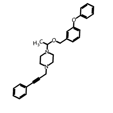 CC(OCc1cccc(Oc2ccccc2)c1)N1CCN(CC#Cc2ccccc2)CC1